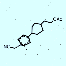 CC(=O)OCCC1CCC(c2ccc(CC#N)cc2)CC1